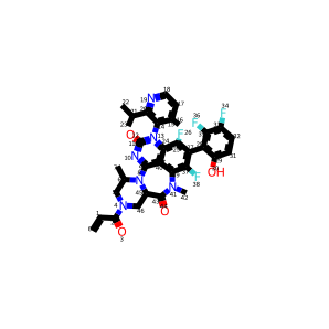 C=CC(=O)N1CC(C)N2c3nc(=O)n(-c4c(C)ccnc4C(C)C)c4c(F)c(-c5c(O)ccc(F)c5F)c(F)c(c34)N(C)C(=O)C2C1